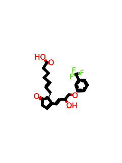 O=C(O)CCCC=CC[C@H]1C(=O)CC=C1C=CC(O)COc1cccc(C(F)(F)F)c1